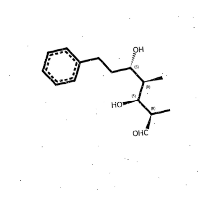 C[C@@H]([C@H](O)[C@@H](C)C=O)[C@@H](O)CCc1ccccc1